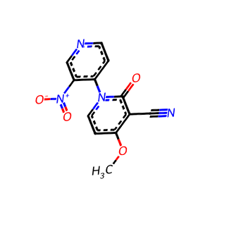 COc1ccn(-c2ccncc2[N+](=O)[O-])c(=O)c1C#N